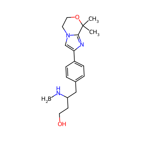 BNC(CCO)Cc1ccc(-c2cn3c(n2)C(C)(C)OCC3)cc1